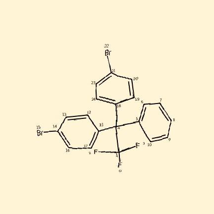 FC(F)(F)C(c1ccccc1)(c1ccc(Br)cc1)c1ccc(Br)cc1